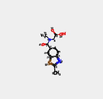 Cc1nc2ccc(C(=O)N(C)CC(=O)O)cc2s1